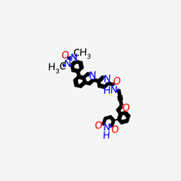 Cn1c(=O)n(C)c2cc(-c3cccc4cc(-c5ccc(C(=O)NCC#Cc6cc7c([C@@H]8CCC(=O)NC8=O)cccc7o6)nc5)ncc34)ccc21